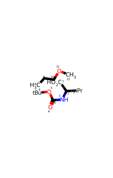 CC(C)C(NC(=O)OC(C)(C)C)C(=O)O.CCCOC